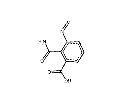 NC(=O)c1c(N=O)cccc1C(=O)O